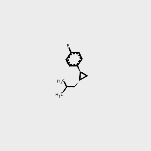 CC(C)C[C@H]1C[C@@H]1c1ccc(F)cc1